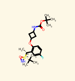 C[C@H](c1cc(F)ccc1OC1CC(NC(=O)OC(C)(C)C)C1)[S@@]1(C(C)(C)C)NO1